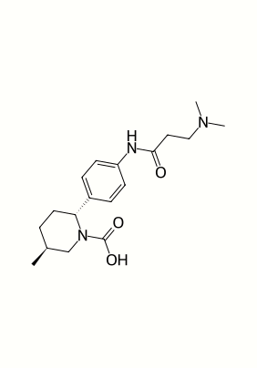 C[C@H]1CC[C@H](c2ccc(NC(=O)CCN(C)C)cc2)N(C(=O)O)C1